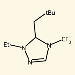 CCN1N=CN(C(F)(F)F)C1CC(C)(C)C